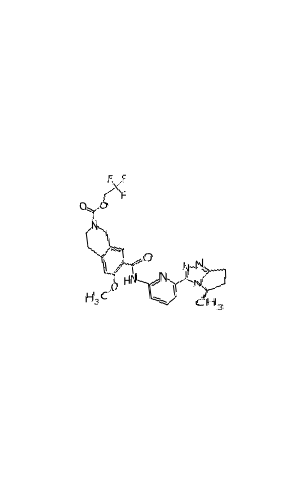 COc1cc2c(cc1C(=O)Nc1cccc(-c3nnc4n3[C@H](C)CC4)n1)CN(C(=O)OCC(F)(F)F)CC2